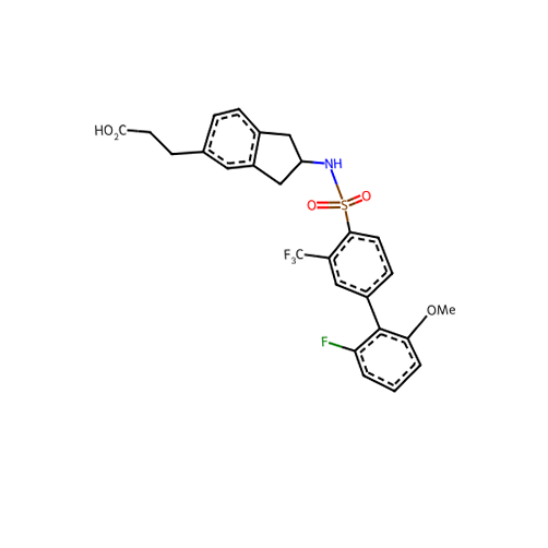 COc1cccc(F)c1-c1ccc(S(=O)(=O)NC2Cc3ccc(CCC(=O)O)cc3C2)c(C(F)(F)F)c1